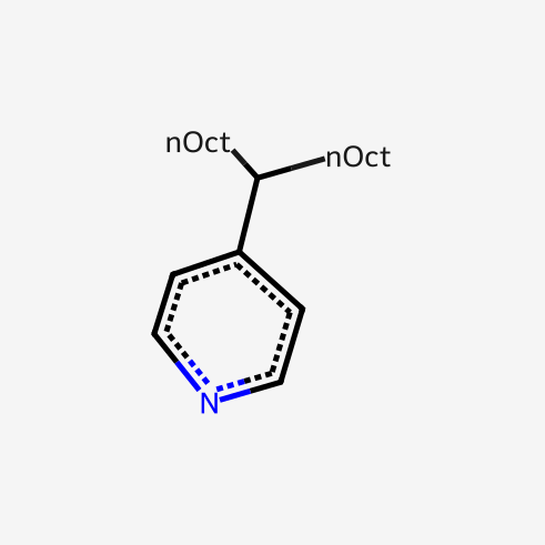 CCCCCCCCC(CCCCCCCC)c1ccncc1